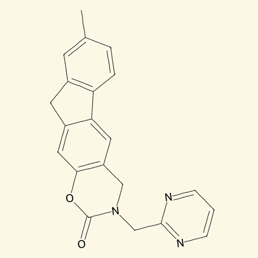 Cc1ccc2c(c1)Cc1cc3c(cc1-2)CN(Cc1ncccn1)C(=O)O3